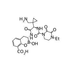 CCN1CCN(C(=O)N[C@@H](C(=O)N[C@H]2Cc3cccc(C(=O)O)c3OB2O)C2(CN)CC2)C(=O)C1=O